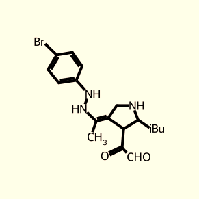 CCC(C)C1NCC(=C(C)NNc2ccc(Br)cc2)C1C(=O)C=O